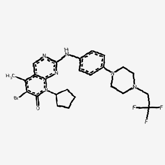 Cc1c(Br)c(=O)n(C2CCCC2)c2nc(Nc3ccc(N4CCN(CC(F)(F)F)CC4)cc3)ncc12